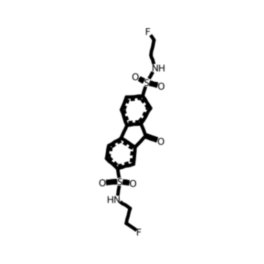 O=C1c2cc(S(=O)(=O)NCCF)ccc2-c2ccc(S(=O)(=O)NCCF)cc21